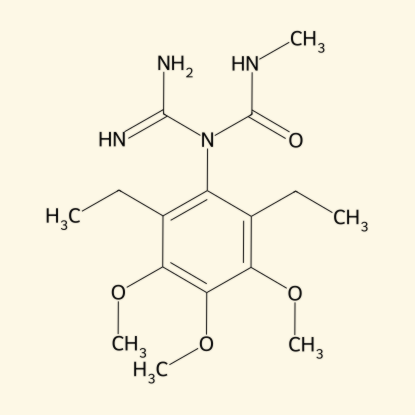 CCc1c(OC)c(OC)c(OC)c(CC)c1N(C(=N)N)C(=O)NC